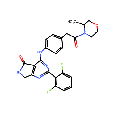 O=C1NCc2nc(-c3c(F)cccc3F)nc(Nc3ccc(CC(=O)N4CCOCC4C(=O)O)cc3)c21